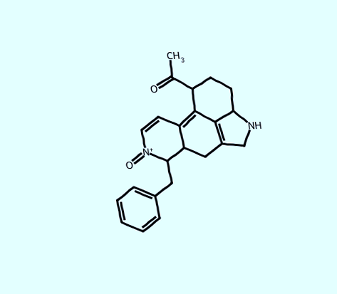 CC(=O)C1CCC2NCC3=C2C1=C1C=C[N+](=O)C(Cc2ccccc2)C1C3